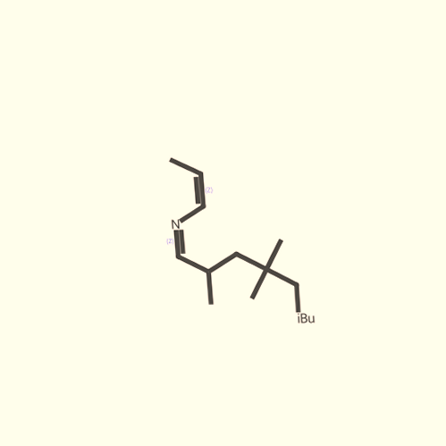 C/C=C\N=C/C(C)CC(C)(C)CC(C)CC